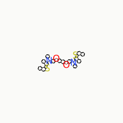 c1ccc(N(c2ccc3c(c2)oc2cc4cc5c(cc4cc23)oc2cc(N(c3ccccc3)c3cc4sc6ccc7ccccc7c6c4c4ccccc34)ccc25)c2cc3sc4ccc5ccccc5c4c3c3ccccc23)cc1